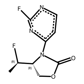 C[C@@H](F)[C@H]1COC(=O)N1c1ccnc(F)n1